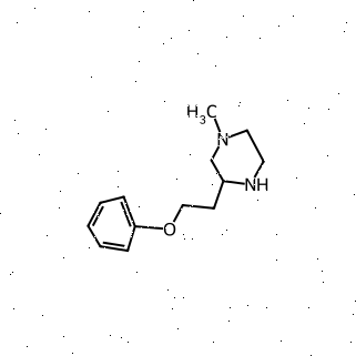 CN1CCNC(CCOc2ccccc2)C1